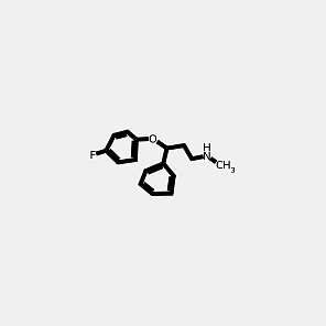 CNCCC(Oc1ccc(F)cc1)c1ccccc1